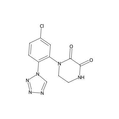 O=C1NCCN(c2cc(Cl)ccc2-n2cnnn2)C1=O